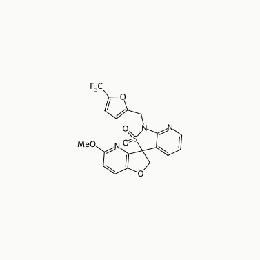 COc1ccc2c(n1)C1(CO2)c2cccnc2N(Cc2ccc(C(F)(F)F)o2)S1(=O)=O